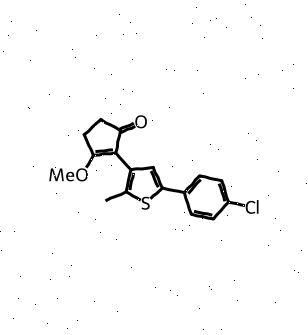 COC1=C(c2cc(-c3ccc(Cl)cc3)sc2C)C(=O)CC1